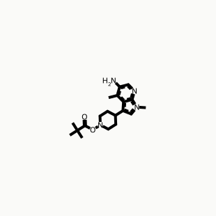 Cc1c(N)cnc2c1c(C1CCN(OC(=O)C(C)(C)C)CC1)cn2C